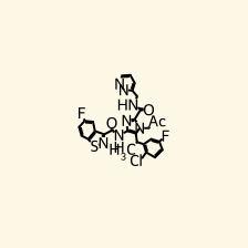 CC(=O)Cn1c(C(=O)NCc2cccnn2)nc(NC(=O)c2nsc3ccc(F)cc23)c1[C@H](C)c1cc(F)ccc1Cl